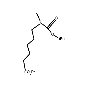 CCOC(=O)CCCCCN(C)C(=O)OC(C)(C)C